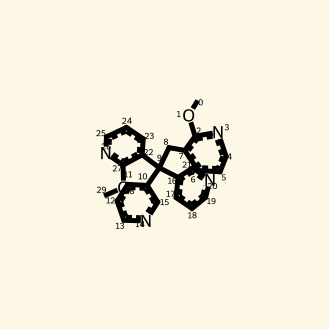 COc1ncccc1CC(c1cccnc1)(c1cccnc1)c1cccnc1OC